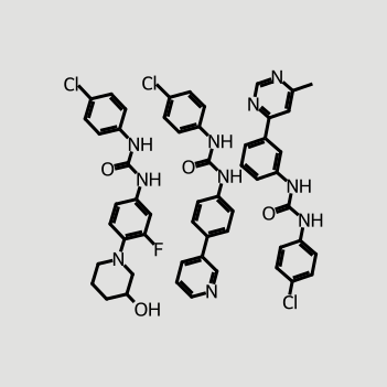 Cc1cc(-c2cccc(NC(=O)Nc3ccc(Cl)cc3)c2)ncn1.O=C(Nc1ccc(Cl)cc1)Nc1ccc(-c2cccnc2)cc1.O=C(Nc1ccc(Cl)cc1)Nc1ccc(N2CCCC(O)C2)c(F)c1